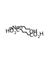 CCCCCCCCCCCCO.O=C(O)CCCCC(=O)O